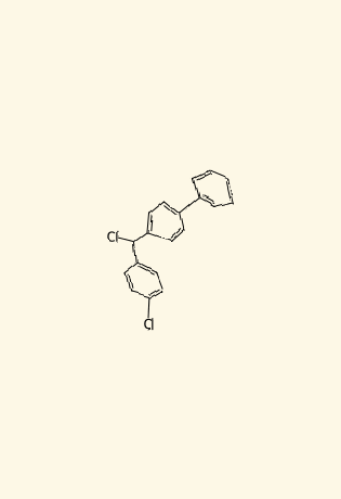 Clc1ccc(C(Cl)c2ccc(-c3ccccc3)cc2)cc1